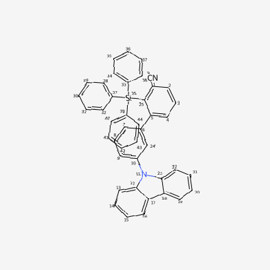 N#Cc1cccc(-c2cccc(-n3c4ccccc4c4ccccc43)c2)c1[Si](c1ccccc1)(c1ccccc1)c1ccccc1